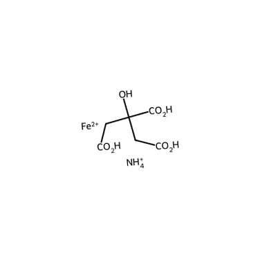 O=C(O)CC(O)(CC(=O)O)C(=O)O.[Fe+2].[NH4+]